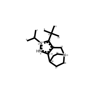 CC(C)[n+]1[nH]c2c(c1C(C)(C)C)CN1CCC2CC1